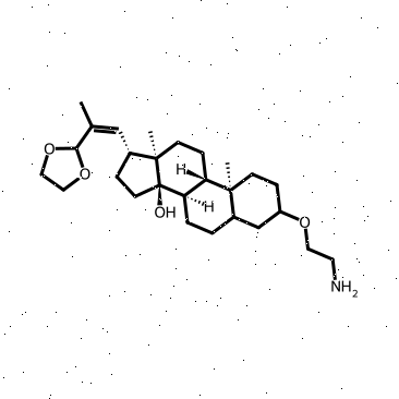 C/C(=C/[C@H]1CC[C@@]2(O)[C@@H]3CCC4CC(OCCN)CC[C@]4(C)[C@H]3CC[C@]12C)C1OCCO1